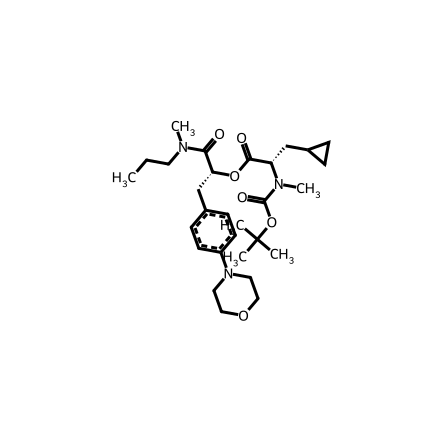 CCCN(C)C(=O)[C@@H](Cc1ccc(N2CCOCC2)cc1)OC(=O)[C@H](CC1CC1)N(C)C(=O)OC(C)(C)C